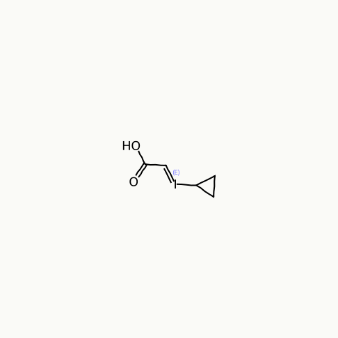 O=C(O)/C=I/C1CC1